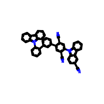 N#Cc1ccc2c(c1)c1ccccc1n2-c1cc(C#N)c(-c2cccc(-c3ccccc3-n3c4ccccc4c4ccccc43)c2)cc1C#N